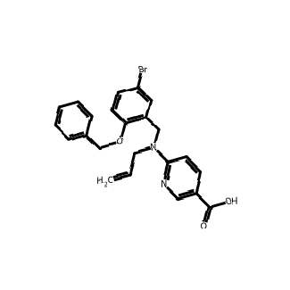 C=CCN(Cc1cc(Br)ccc1OCc1ccccc1)c1ccc(C(=O)O)cn1